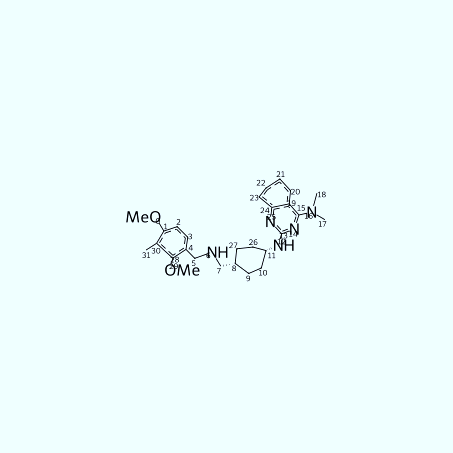 COc1ccc(CNC[C@H]2CC[C@@H](Nc3nc(N(C)C)c4ccccc4n3)CC2)c(OC)c1C